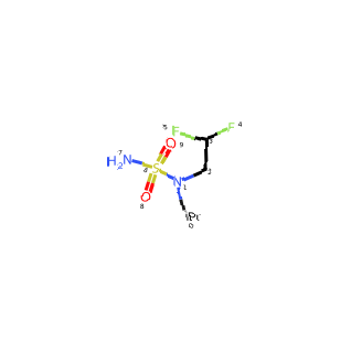 CC(C)N(CC(F)F)S(N)(=O)=O